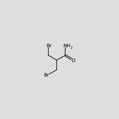 NC(=O)C(CBr)CBr